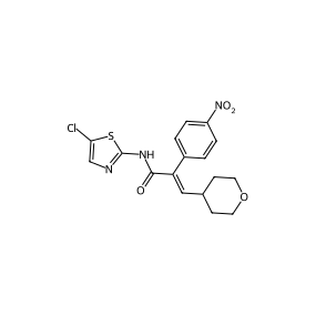 O=C(Nc1ncc(Cl)s1)C(=CC1CCOCC1)c1ccc([N+](=O)[O-])cc1